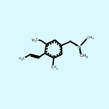 C/C=C/c1c(C)cc(CN(C)C)cc1C